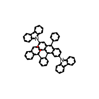 c1ccc(-c2c3cc(-n4c5ccccc5c5ccccc54)ccc3c(-c3ccccc3-c3cccc4ccccc34)c3cc(-n4c5ccccc5c5ccccc54)ccc23)cc1